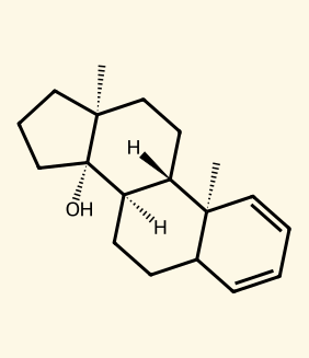 C[C@@]12CCC[C@]1(O)[C@@H]1CCC3C=CC=C[C@]3(C)[C@H]1CC2